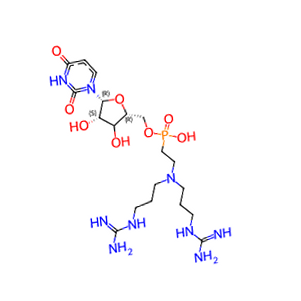 N=C(N)NCCCN(CCCNC(=N)N)CCP(=O)(O)OC[C@H]1O[C@@H](n2ccc(=O)[nH]c2=O)[C@@H](O)C1O